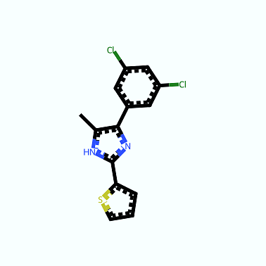 Cc1[nH]c(-c2cccs2)nc1-c1cc(Cl)cc(Cl)c1